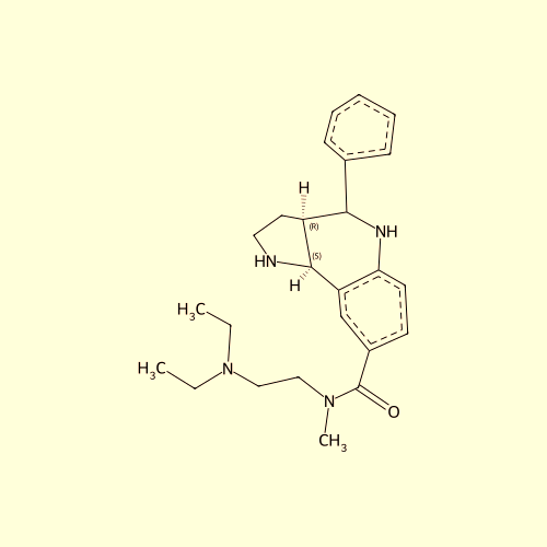 CCN(CC)CCN(C)C(=O)c1ccc2c(c1)[C@H]1NCC[C@H]1C(c1ccccc1)N2